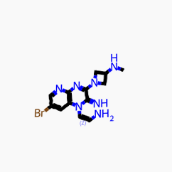 CNC1CN(c2nc3ncc(Br)cc3n(/C=C\N)c2=N)C1